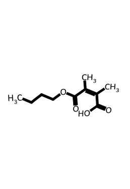 CCCCOC(=O)/C(C)=C(/C)C(=O)O